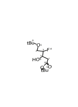 CC(C)(C)OCC(F)C(O)CC(=O)OC(C)(C)C